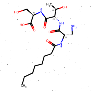 CCCCCCCC(=O)N[C@@H](CN)C(=O)N[C@H](C(=O)N[C@H](CO)C(=O)O)[C@@H](C)O